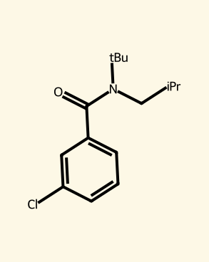 CC(C)CN(C(=O)c1cccc(Cl)c1)C(C)(C)C